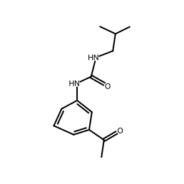 CC(=O)c1cccc(NC(=O)NCC(C)C)c1